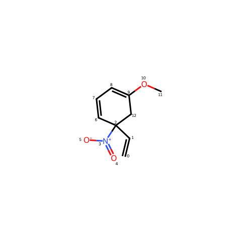 C=CC1([N+](=O)[O-])C=CC=C(OC)C1